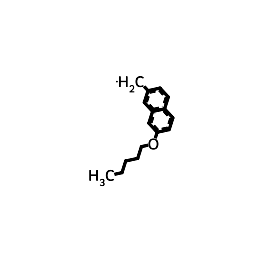 [CH2]c1ccc2ccc(OCCCCC)cc2c1